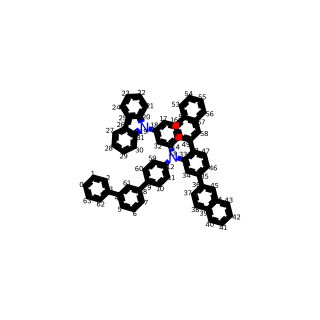 c1ccc(-c2cccc(-c3ccc(N(c4cccc(-n5c6ccccc6c6ccccc65)c4)c4cc(-c5ccc6ccccc6c5)ccc4-c4ccc5ccccc5c4)cc3)c2)cc1